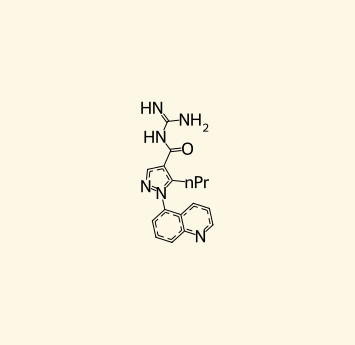 CCCc1c(C(=O)NC(=N)N)cnn1-c1cccc2ncccc12